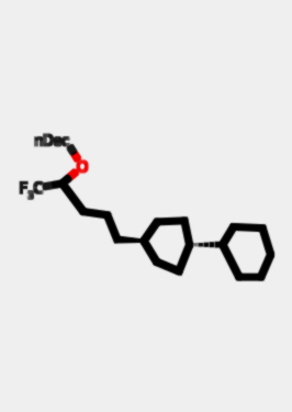 CCCCCCCCCCOC(CCC[C@H]1CC[C@H](C2CCCCC2)CC1)C(F)(F)F